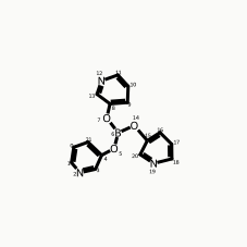 c1cncc(OB(Oc2cccnc2)Oc2cccnc2)c1